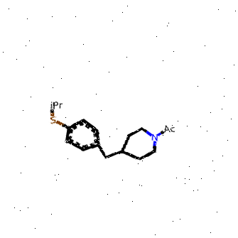 CC(=O)N1CCC(Cc2ccc(SC(C)C)cc2)CC1